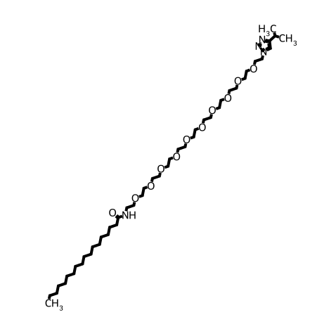 CCCCCCCCCCCCCCCCCC(=O)NCCOCCOCCOCCOCCOCCOCCOCCOCCOCCOCCn1cc(C(C)C)nn1